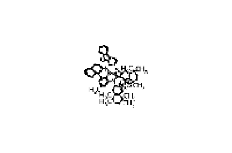 Cc1cc2c3c(c1)N(c1cc4c(cc1C)C(C)(C)CCC4(C)C)c1c(sc4cc5c(cc14)C(C)(C)CCC5(C)C)B3N(c1cccc3c1oc1ccccc13)c1ccc3ccccc3c1-2